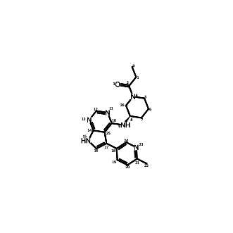 CCC(=O)N1CCC[C@@H](Nc2ncnc3[nH]cc(-c4ccc(C)nc4)c23)C1